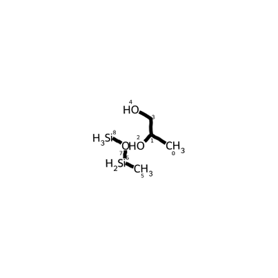 CC(O)CO.C[SiH2]O[SiH3]